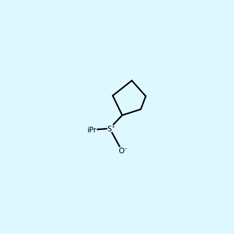 CC(C)[S+]([O-])C1CCCC1